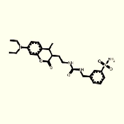 CCN(CC)c1ccc2c(c1)OC(=O)C(CCNC(=O)NCc1cccc(S(N)(=O)=O)c1)C2C